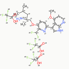 COc1ccnc2[nH]cc(-c3ccc(OC[C@@](C)(N)CC(C)C)c(C(F)F)n3)c12.O=C(O)C(F)(F)F.O=C(O)C(F)(F)F.O=C(O)C(F)(F)F